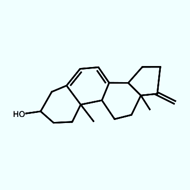 C=C1CCC2C3=CC=C4CC(O)CCC4(C)C3CCC12C